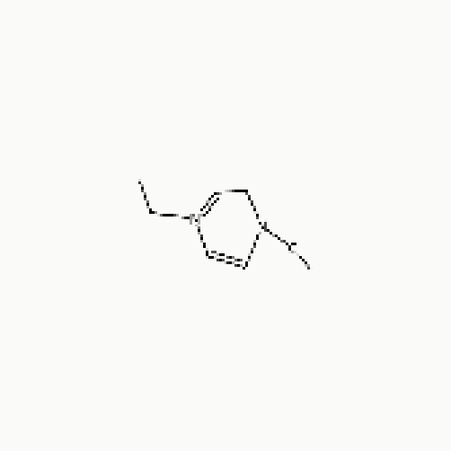 CCN1C=C[N+](CC)=CC1